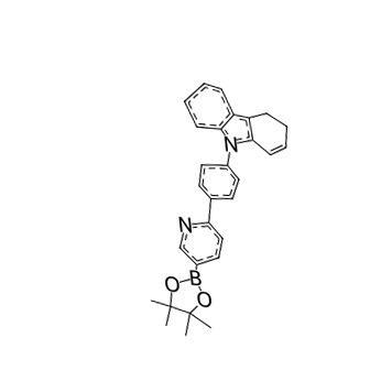 CC1(C)OB(c2ccc(-c3ccc(-n4c5c(c6ccccc64)CCC=C5)cc3)nc2)OC1(C)C